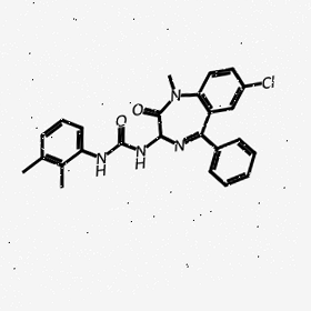 Cc1cccc(NC(=O)NC2N=C(c3ccccc3)c3cc(Cl)ccc3N(C)C2=O)c1C